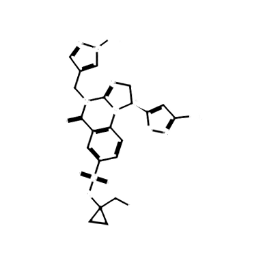 Cc1cc([C@@H]2CN=C3N(Cc4cnn(C)c4)C(=O)c4cc(S(=O)(=O)NC5(CF)CC5)ccc4N32)on1